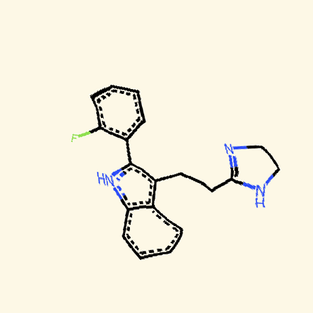 Fc1ccccc1-c1[nH]c2ccccc2c1CCC1=NCCN1